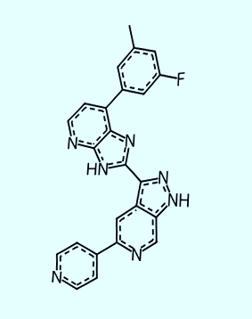 Cc1cc(F)cc(-c2ccnc3[nH]c(-c4n[nH]c5cnc(-c6ccncc6)cc45)nc23)c1